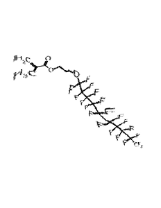 C=C(C)C(=O)OCCOC(F)(F)C(F)(F)C(F)(F)C(F)(F)C(F)(F)C(F)(F)C(F)(F)C(F)(F)C(F)(F)C(F)(F)F